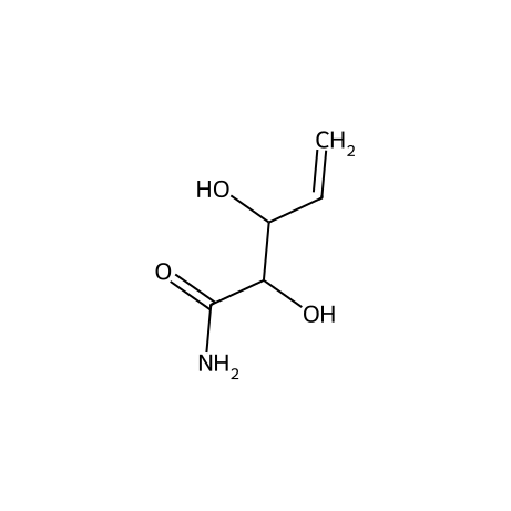 C=CC(O)C(O)C(N)=O